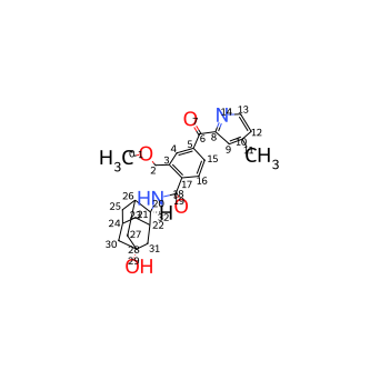 COCc1cc(C(=O)c2cc(C)ccn2)ccc1C(=O)N[C@H]1C2CC3CC1C[C@](O)(C3)C2